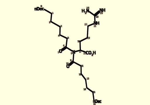 CCCCCCCCCCCCCCCC(=O)N(C(=O)CCCCCCCCCCCCCCC)C(CCCNC(=N)N)C(=O)O